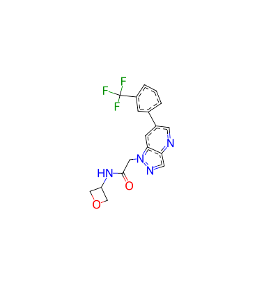 O=C(Cn1ncc2ncc(-c3cccc(C(F)(F)F)c3)cc21)NC1COC1